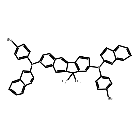 CC(C)(C)c1ccc(N(c2ccc3c(c2)C(C)(C)c2cc4cc(N(c5ccc(C(C)(C)C)cc5)c5ccc6ccccc6c5)ccc4cc2-3)c2ccc3ccccc3c2)cc1